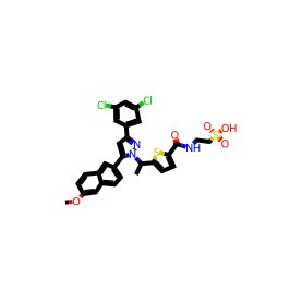 COc1ccc2cc(-c3cc(-c4cc(Cl)cc(Cl)c4)nn3C(C)c3ccc(C(=O)NCCS(=O)(=O)O)s3)ccc2c1